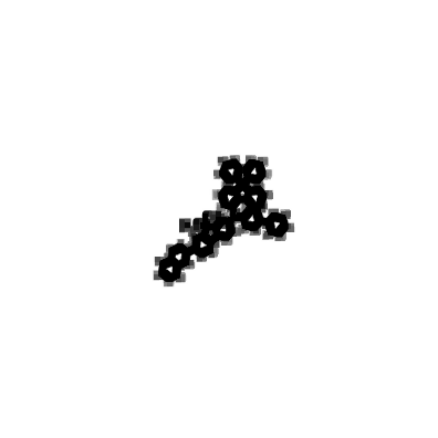 CC1(C)c2cc(-c3ccc4ccccc4c3)ccc2-c2ccc(N(c3ccc(-c4ccccc4)cc3)c3cccc4c3-c3ccccc3C4(c3ccccc3)c3ccccc3)cc21